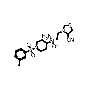 Cc1cccc(S(=O)(=O)N2CCC([N+](N)([O-])CCN3CSCC3C#N)CC2)c1